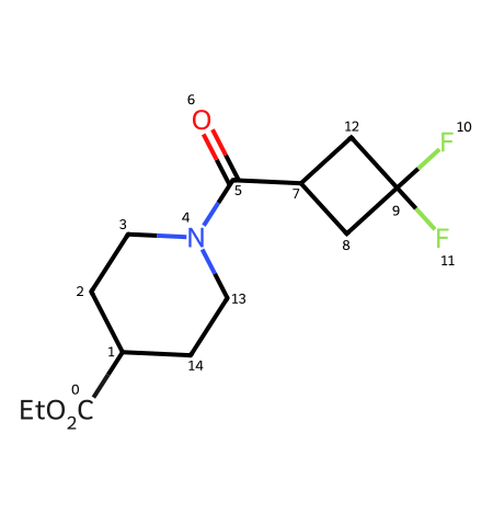 CCOC(=O)C1CCN(C(=O)C2CC(F)(F)C2)CC1